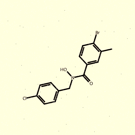 Cc1cc(C(=O)N(O)Cc2ccc(Cl)cc2)ccc1Br